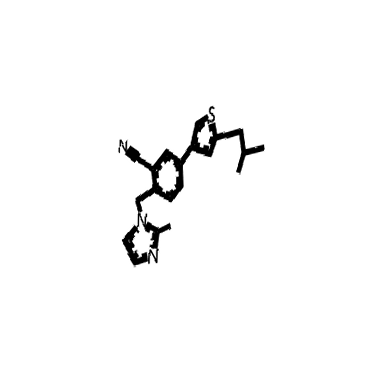 Cc1nccn1Cc1ccc(-c2csc(CC(C)C)c2)cc1C#N